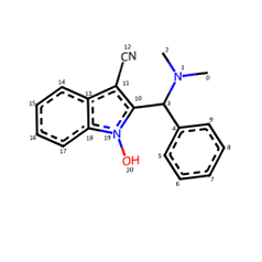 CN(C)C(c1ccccc1)c1c(C#N)c2ccccc2n1O